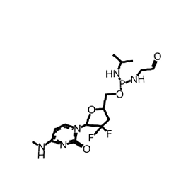 CNc1ccn(C2OC(COP(NCC=O)NC(C)C)CC2(F)F)c(=O)n1